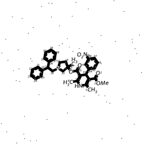 COC(=O)C1=C(C)NC(C)=C(C(=O)OC2(C)CCN(CC(c3ccccc3)c3ccccc3)C2)C1c1cccc([N+](=O)[O-])c1